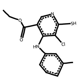 CCOC(=O)c1cnc(S)c(Cl)c1Nc1cccc(C)c1